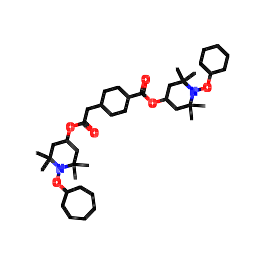 CC1(C)CC(OC(=O)CC2CCC(C(=O)OC3CC(C)(C)N(OC4CCCCC4)C(C)(C)C3)CC2)CC(C)(C)N1OC1CCCCCC1